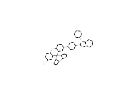 N#Cc1ccc2c(c1)C1(c3cc(-c4ccc(-c5nc6ccccc6n5-c5ccccc5)cc4)ccc3S2)c2ccccc2-c2ccccc21